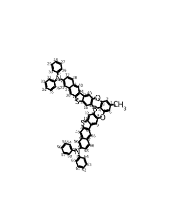 Cc1cc2c3c(c1)Oc1cc4c(cc1B3c1cc3sc5cc6cc(N(c7ccccc7)c7ccccc7)ccc6cc5c3cc1O2)sc1cc2cc(N(c3ccccc3)c3ccccc3)ccc2cc14